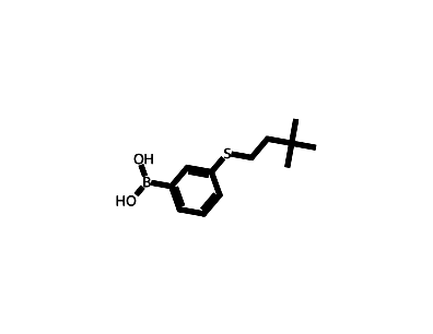 CC(C)(C)CCSc1cccc(B(O)O)c1